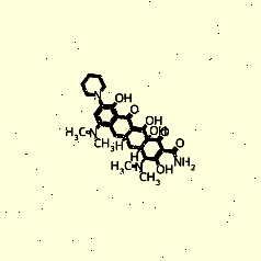 CN(C)c1cc(N2CCCCC2)c(O)c2c1C[C@H]1C[C@@H]3[C@H](N(C)C)C(O)=C(C(N)=O)C(=O)[C@@]3(O)C(O)=C1C2=O